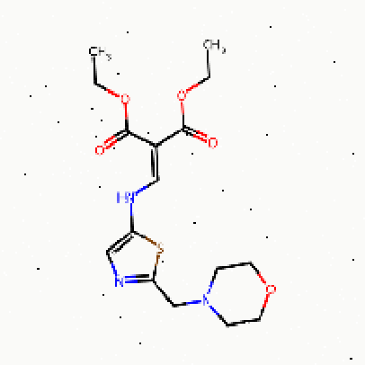 CCOC(=O)C(=CNc1cnc(CN2CCOCC2)s1)C(=O)OCC